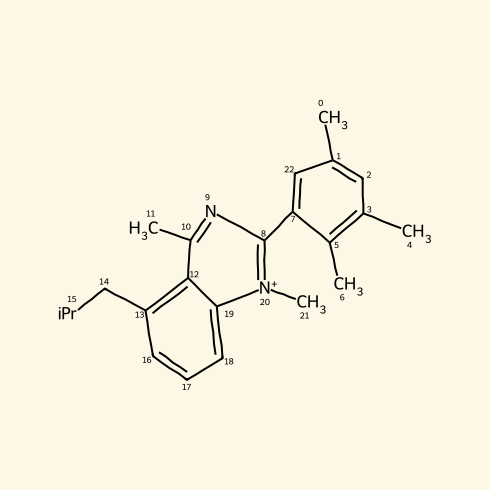 Cc1cc(C)c(C)c(-c2nc(C)c3c(CC(C)C)cccc3[n+]2C)c1